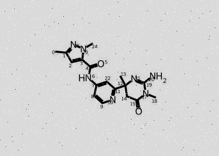 Cc1cc(C(=O)Nc2ccnc(C3(C)CC(=O)N(C)C(N)=N3)c2)n(C)n1